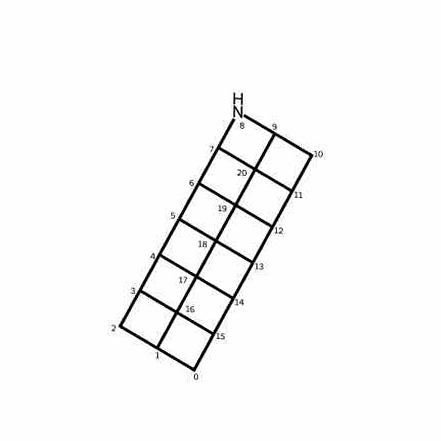 C1C2CC3C4C5C6C7NC8CC9C%10C%11C%12C1C23C%124C%115C%106C897